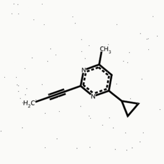 [CH2]C#Cc1nc(C)cc(C2CC2)n1